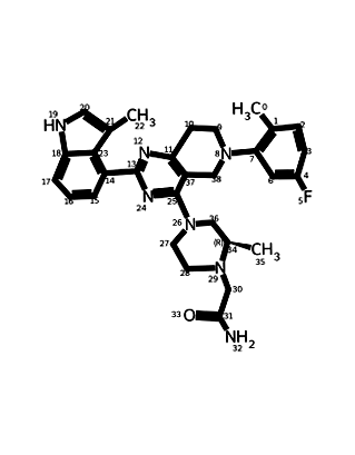 Cc1ccc(F)cc1N1CCc2nc(-c3cccc4[nH]cc(C)c34)nc(N3CCN(CC(N)=O)[C@H](C)C3)c2C1